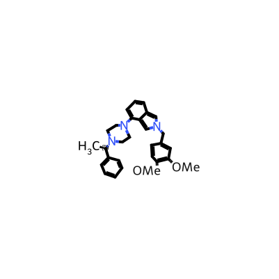 COc1ccc(Cn2cc3cccc(N4CCN([C@H](C)c5ccccc5)CC4)c3c2)cc1OC